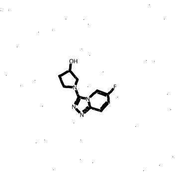 OC1CCN(c2nnc3ccc(F)cn23)C1